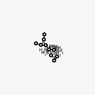 Bc1c(B)c(B)c2c(c1B)c1c(B)c(-c3ccc4c(c3)c3ccc(-c5ccccc5)cc3n4-c3ccc(-c4ccccc4)cc3)c(B)c(B)c1n2-c1cccc(-n2c3ccccc3c3ccccc32)c1